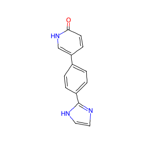 O=c1ccc(-c2ccc(-c3ncc[nH]3)cc2)c[nH]1